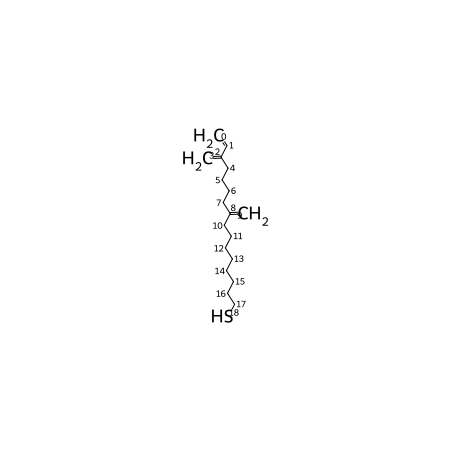 C=CC(=C)CCCCC(=C)CCCCCCCCS